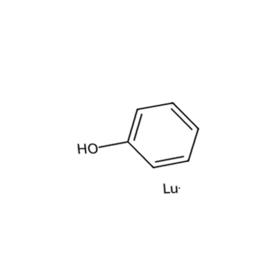 Oc1ccccc1.[Lu]